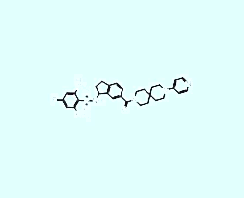 Cc1cc(F)cc(C)c1S(=O)(=O)NC1CCc2ccc(C(=O)N3CCC4(CC3)CCN(c3ccncc3)CC4)cc21